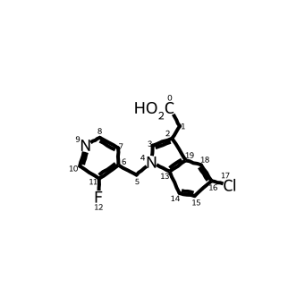 O=C(O)Cc1cn(Cc2ccncc2F)c2ccc(Cl)cc12